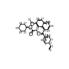 C=CC1CN2CCC1CC2[C@H](OCC(=O)OC1CCCCC1)c1ccnc2ccc(OC)cc12